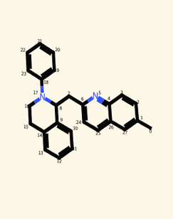 Cc1ccc2nc(CC3c4ccccc4CCN3c3ccccc3)ccc2c1